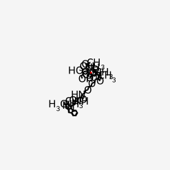 CNN(C)Cc1cc2ccccc2n1CCC(=O)NCC(=O)NCCOCCOCCC(=O)N(C)C(C)(CC(=O)N[C@@H]1O[C@H](CO)[C@@H](O)[C@H](O)[C@H]1NC(C)=O)C(=O)O